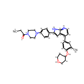 N#CCC(=O)N1CCN(c2ccc(-c3cc4c(-c5ccc(OC6CCOCC6)c(C#N)c5)ccnc4[nH]3)cc2)CC1